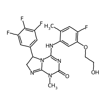 Cc1cc(F)c(OCCO)cc1NC1=NC(=O)N(C)C2=NCC(c3cc(F)c(F)c(F)c3)N12